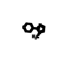 Cn1ccnc1C1CCOCC1